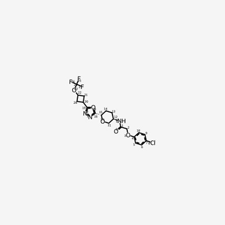 O=C(COc1ccc(Cl)cc1)N[C@@H]1CC[C@@H](c2nnc(C3CC(OC(F)(F)F)C3)o2)OC1